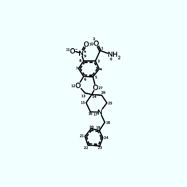 NC(=O)c1cc2c(cc1[N+](=O)[O-])OCC1(CCN(Cc3ccccc3)CC1)O2